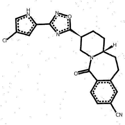 N#Cc1ccc2c(c1)CC[C@H]1CC[C@H](c3nc(-c4cc(Cl)c[nH]4)no3)CN1C2=O